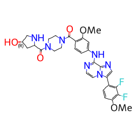 COc1cc(Nc2nccn3c(-c4ccc(OC)c(F)c4F)cnc23)ccc1C(=O)N1CCN(C(=O)C2C[C@@H](O)CN2)CC1